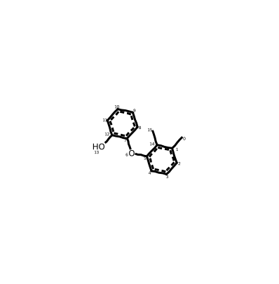 Cc1cccc(Oc2ccccc2O)c1C